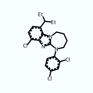 CCC(CC)c1ccc(Cl)c2nc3n(c12)CCCCN3c1ccc(Cl)cc1Cl